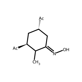 CC(=O)[C@@H]1C/C(=N\O)C(C)[C@@H](C(C)=O)C1